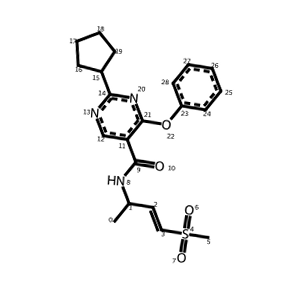 CC(C=CS(C)(=O)=O)NC(=O)c1cnc(C2CCCC2)nc1Oc1ccccc1